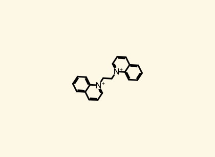 c1ccc2c(c1)ccc[n+]2CC[n+]1cccc2ccccc21